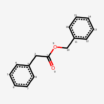 O=C([CH]c1ccccc1)OCc1ccccc1